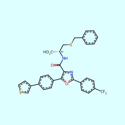 O=C(N[C@@H](CSCc1ccccc1)C(=O)O)c1nc(-c2ccc(C(F)(F)F)cc2)oc1-c1ccc(-c2ccsc2)cc1